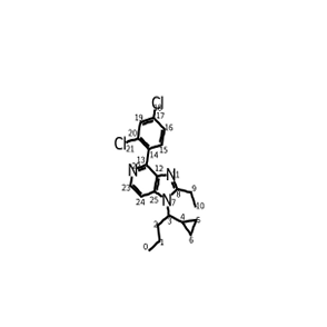 CCCC(C1CC1)n1c(CC)nc2c(-c3ccc(Cl)cc3Cl)nccc21